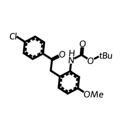 COc1ccc(CC(=O)c2ccc(Cl)cc2)c(NC(=O)OC(C)(C)C)c1